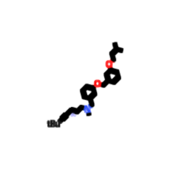 CC(C)=CCOc1cccc(COc2cccc(CN(C)C/C=C/C#CC(C)(C)C)c2)c1